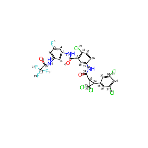 O=C(Nc1cc(F)cc(NC(=O)C(F)(F)F)c1)c1cc(NC(=O)C2C(c3cc(Cl)cc(Cl)c3)C2(Cl)Cl)ccc1Cl